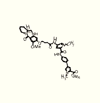 COC(=O)c1cc(-c2ccc(NC(=O)c3cc(NC(=O)CCCOc4cc5c(cc4OC)C(=O)N4CCC[C@H]4CN5)cn3C)cc2)cn1C